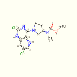 CN(C(=O)OC(C)(C)C)[C@@H]1CCN(c2nc(Cl)nc3cc(Cl)cnc23)C1